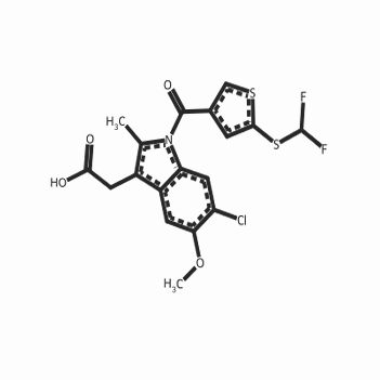 COc1cc2c(CC(=O)O)c(C)n(C(=O)c3csc(SC(F)F)c3)c2cc1Cl